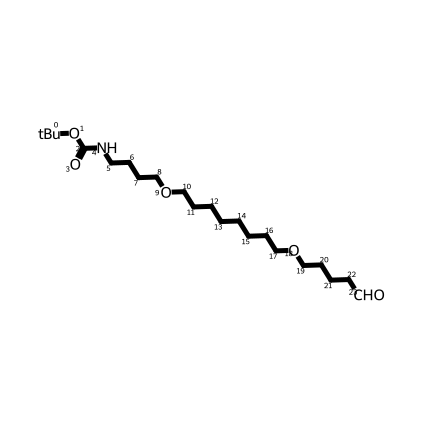 CC(C)(C)OC(=O)NCCCCOCCCCCCCCOCCCCC=O